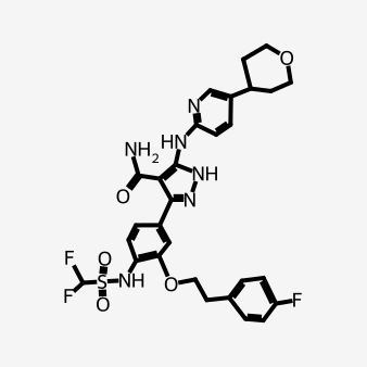 NC(=O)c1c(-c2ccc(NS(=O)(=O)C(F)F)c(OCCc3ccc(F)cc3)c2)n[nH]c1Nc1ccc(C2CCOCC2)cn1